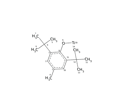 Cc1cc(C(C)(C)C)c([O][Ti])c(C(C)(C)C)c1